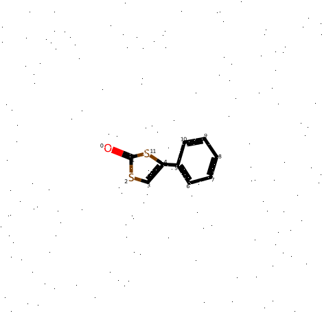 O=c1scc(-c2ccccc2)s1